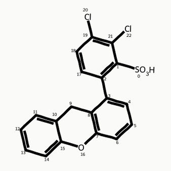 O=S(=O)(O)c1c(-c2cccc3c2Cc2ccccc2O3)ccc(Cl)c1Cl